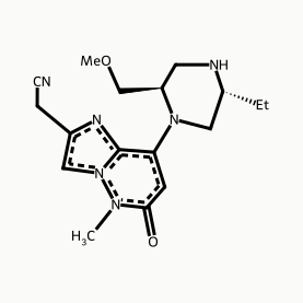 CC[C@@H]1CN(c2cc(=O)n(C)n3cc(CC#N)nc23)[C@@H](COC)CN1